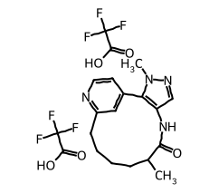 CC1CCCCc2cc(ccn2)-c2c(cnn2C)NC1=O.O=C(O)C(F)(F)F.O=C(O)C(F)(F)F